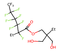 CCC(CO)(CO)COC(=O)C(F)(CC)C(F)(F)C(F)(F)C(F)(F)C(F)(F)F